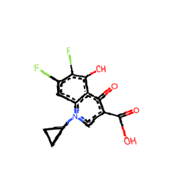 O=C(O)c1cn(C2CC2)c2cc(F)c(F)c(O)c2c1=O